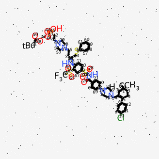 CC1(C)CCC(c2ccc(Cl)cc2)=C(CN2CCN(c3ccc(C(=O)NS(=O)(=O)c4ccc(N[C@H](CCN5CCN(CCP(=O)(O)OCOC(=O)C(C)(C)C)CC5)CSc5ccccc5)c(S(=O)(=O)C(F)(F)F)c4)cc3)CC2)C1